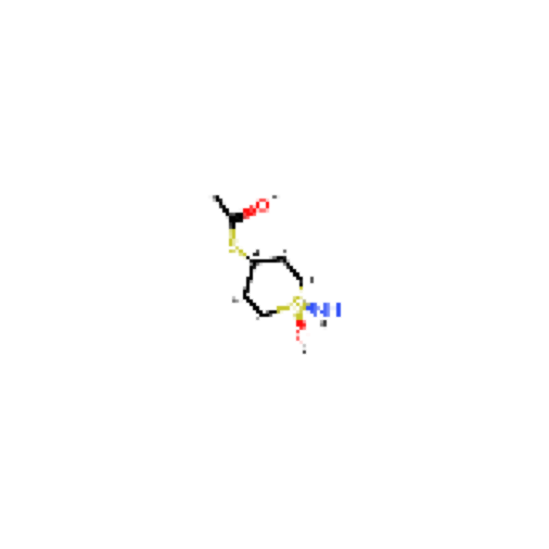 CC(=O)S[C@H]1CC[S@](=N)(=O)CC1